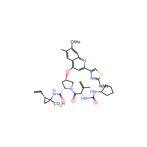 C=C[C@@H]1C[C@]1(NC(=O)[C@@H]1C[C@@H](Oc2cc(-c3csc(NC)n3)nc3cc(OC)c(C)cc23)CN1C(=O)[C@@H](NC(=O)NC1CCCC1)C(=C)C)C(=O)O